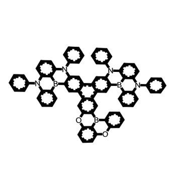 c1ccc(N2c3ccccc3B3c4cc5c6cc7c(cc6c6cc8c(cc6c5cc4N(c4ccccc4)c4cccc2c43)N(c2ccccc2)c2cccc3c2B8c2ccccc2N3c2ccccc2)B2c3ccccc3Oc3cccc(c32)O7)cc1